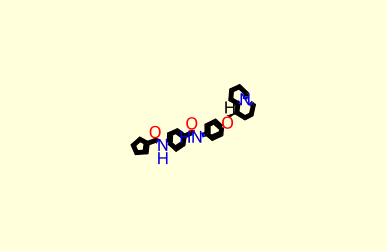 O=C(Nc1ccc(C(=O)Nc2ccc(OC[C@@H]3CCCN4CCCC[C@H]34)cc2)cc1)C1=CCCC1